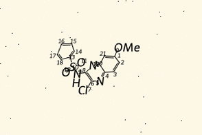 COc1ccc2nc(Cl)c(NS(=O)(=O)c3ccccc3)nc2c1